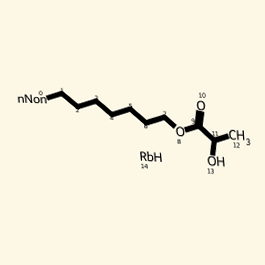 CCCCCCCCCCCCCCCCOC(=O)C(C)O.[RbH]